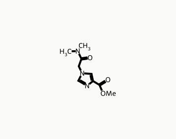 COC(=O)c1cn(CC(=O)N(C)C)cn1